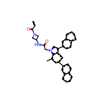 C=CC(=O)N1CC(NC(=O)Cn2cc(-c3ccc4ccccc4c3)c3cc(-c4ccc5ccccc5c4)cc(C)c32)C1